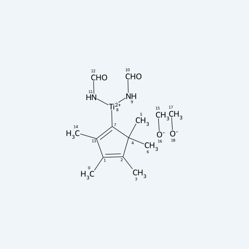 CC1=C(C)C(C)(C)[C]([Ti+2]([NH]C=O)[NH]C=O)=C1C.C[O-].C[O-]